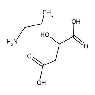 CCCN.O=C(O)CC(O)C(=O)O